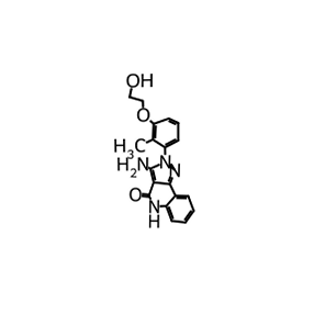 Cc1c(OCCO)cccc1-n1nc2c(c1N)c(=O)[nH]c1ccccc12